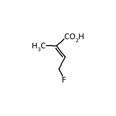 CC(=CCF)C(=O)O